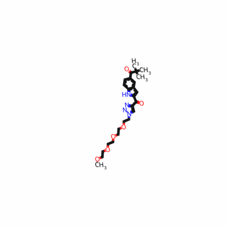 COCCOCCOCCOCCn1cc(C(=O)c2cc3cc(C(=O)C(C)(C)C)ccc3[nH]2)nn1